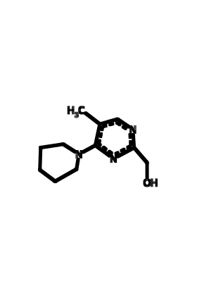 Cc1cnc(CO)nc1N1CCCCC1